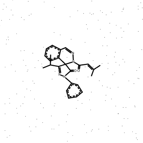 CC(C)=CC(=O)N1N=Cc2ccccc2C12C(=O)N(c1ccccc1)N=C2C(C)C